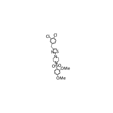 COc1ccc(S(=O)(=O)N2CCN(c3nc(Cc4ccc(Cl)c(Cl)c4)cs3)CC2)c(OC)c1